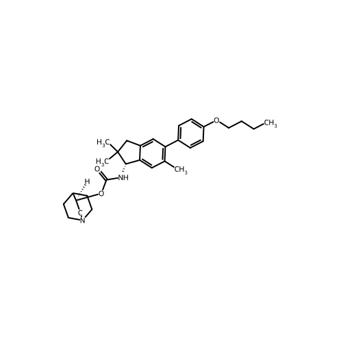 CCCCOc1ccc(-c2cc3c(cc2C)[C@H](NC(=O)O[C@H]2CN4CCC2CC4)C(C)(C)C3)cc1